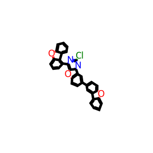 Clc1nc(-c2cccc3oc4ccccc4c23)c2oc3ccc(-c4ccc5oc6ccccc6c5c4)cc3c2n1